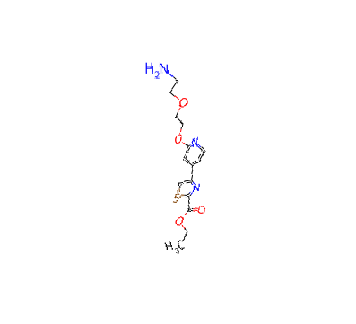 CCOC(=O)c1nc(-c2ccnc(OCCOCCN)c2)cs1